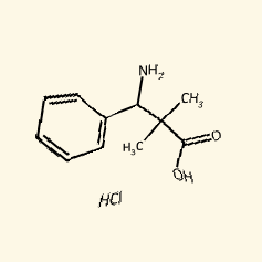 CC(C)(C(=O)O)C(N)c1ccccc1.Cl